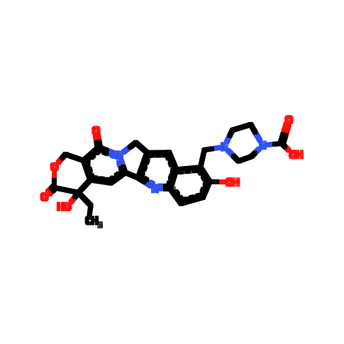 CCC1(O)C(=O)OCc2c1cc1n(c2=O)Cc2cc3c(CN4CCN(C(=O)O)CC4)c(O)ccc3nc2-1